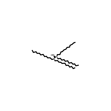 CCCCCCCCCCCCN(CCCCCCCCCCCC)C(=N)N(CCCCCCCCCCCC)CCCCCCCCCCCC